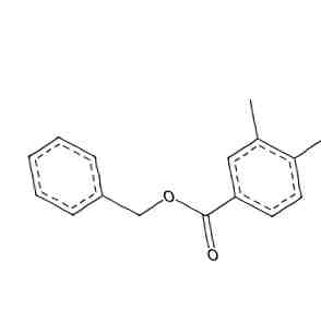 Cc1ccc(C(=O)OCc2ccccc2)cc1C